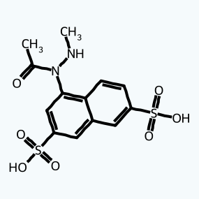 CNN(C(C)=O)c1cc(S(=O)(=O)O)cc2cc(S(=O)(=O)O)ccc12